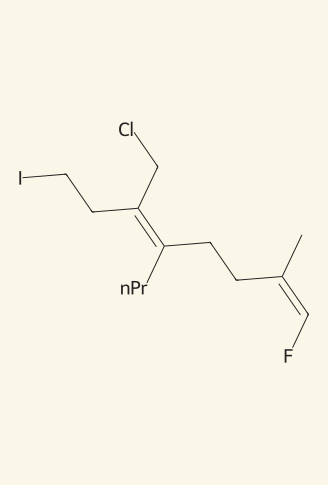 CCC/C(CC/C(C)=C\F)=C(/CCl)CCI